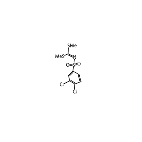 CSC(=NS(=O)(=O)c1ccc(Cl)c(Cl)c1)SC